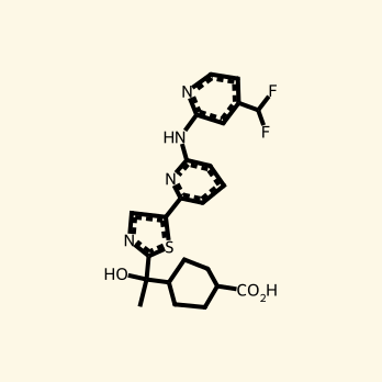 CC(O)(c1ncc(-c2cccc(Nc3cc(C(F)F)ccn3)n2)s1)C1CCC(C(=O)O)CC1